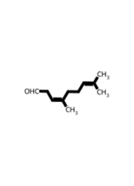 CC(C)=CCCC(C)=CCC=O